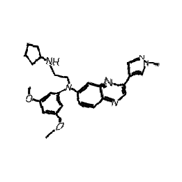 COc1cc(OC)cc(N(CCNC2CCCC2)c2ccc3ncc(-c4cnn(C)c4)nc3c2)c1